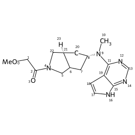 COCC(=O)N1CC2C[C@@H](N(C)c3ncnc4[nH]ccc34)C[C@@H]2C1